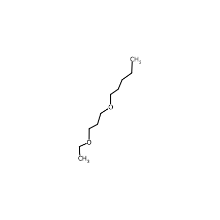 CCCCCOCCCOCC